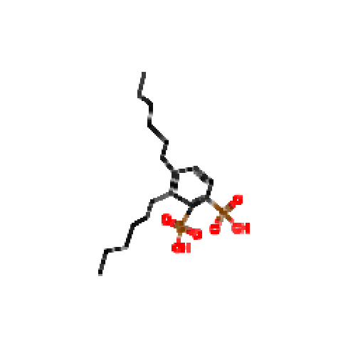 CCCCCCc1ccc(S(=O)(=O)O)c(S(=O)(=O)O)c1CCCCCC